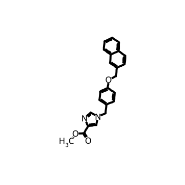 COC(=O)c1cn(Cc2ccc(OCc3ccc4ccccc4c3)cc2)cn1